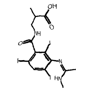 CNC(C)=Nc1c(I)cc(I)c(C(=O)NCC(C)C(=O)O)c1I